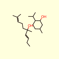 CC1CCC(C(C)C)C(O)C1.CCC=CC(C)(O)CCC=C(C)C